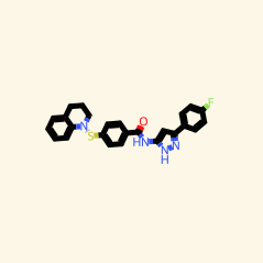 O=C(Nc1cc(-c2ccc(F)cc2)n[nH]1)c1ccc(SN2CCCc3ccccc32)cc1